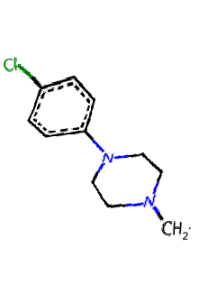 [CH2]N1CCN(c2ccc(Cl)cc2)CC1